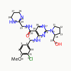 COc1ccc(CNc2nc(N3CCCC3CO)ncc2C(=O)NCC2=NCCCN2)cc1Cl